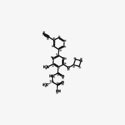 C[C@H](NC(=O)c1c(N)nc(-c2cccc(C#N)c2)nc1OC1COC1)C(=O)O